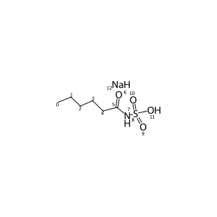 CCCCCC(=O)NS(=O)(=O)O.[NaH]